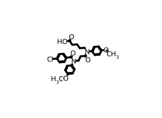 COc1ccc(N(CCCCC(=O)O)C(=O)CCN(C(=O)c2ccc(Cl)cc2)c2ccc(OC)cc2)cc1